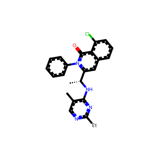 CCc1ncc(C)c(N[C@H](C)c2cc3cccc(Cl)c3c(=O)n2-c2ccccc2)n1